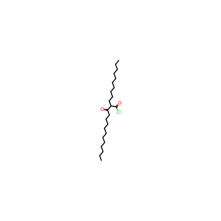 CCCCCCCCCCCC(=O)C(CCCCCCCCCC)C(=O)Cl